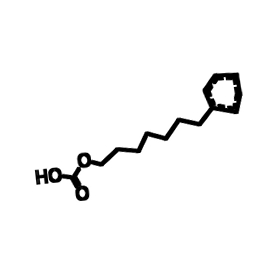 O=C(O)OCCCCCCCc1ccccc1